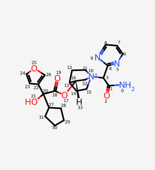 NC(=O)C(c1ncccn1)[N+]12CCC(CC1)[C@@H](OC(=O)C(O)(c1ccoc1)C1CCCC1)C2